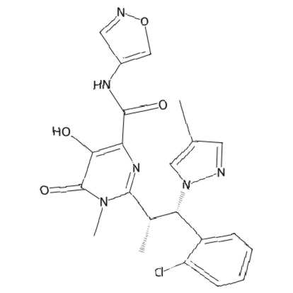 Cc1cnn([C@H](c2ccccc2Cl)[C@H](C)c2nc(C(=O)Nc3cnoc3)c(O)c(=O)n2C)c1